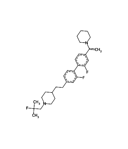 C=C(c1ccc(-c2ccc(CCC3CCN(CC(C)(C)F)CC3)cc2F)c(F)c1)N1CCCCC1